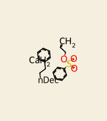 C=CCOS(=O)(=O)c1ccccc1.CCCCCCCCCCCCc1ccccc1.[CaH2]